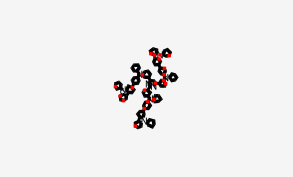 c1ccc(N(c2ccc(-c3ccc4c5ccccc5n(-c5ccccc5)c4c3)cc2)c2cccc(-c3cc(-c4cccc(N(c5ccccc5)c5ccc(-c6ccc7c8ccccc8n(-c8ccccc8)c7c6)cc5)c4)nc(-c4cccc(N(c5ccccc5)c5ccc(-c6ccc7c8ccccc8n(-c8ccccc8)c7c6)cc5)c4)n3)c2)cc1